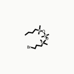 CCCC[Si](C)(C)O[Si](C)(C)O[Si](C)(C)CCCBr